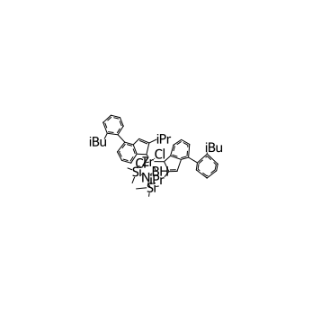 CCC(C)c1ccccc1-c1cccc2c1C=C(C(C)C)[CH]2[Zr]([Cl])([Cl])([BH]N([Si](C)(C)C)[Si](C)(C)C)[CH]1C(C(C)C)=Cc2c(-c3ccccc3C(C)CC)cccc21